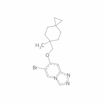 CC1(COc2cc3nncn3cc2Br)CCC2(CC1)CC2